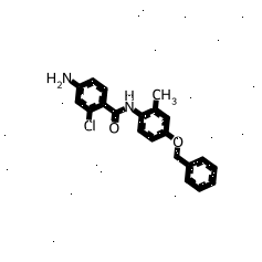 Cc1cc(OCc2ccccc2)ccc1NC(=O)c1ccc(N)cc1Cl